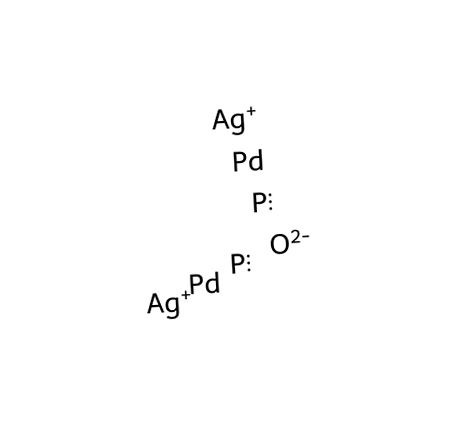 [Ag+].[Ag+].[O-2].[P].[P].[Pd].[Pd]